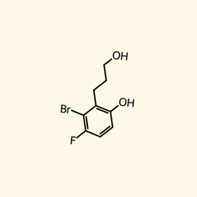 OCCCc1c(O)ccc(F)c1Br